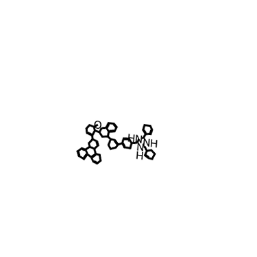 C1=CC(C2NC(C3C=CC(C4=CC(C5CC6C(OC7CCC=C(C8C=CC9C%10=C(C=CCC%10)c%10ccccc%10C9C8)C76)c6ccccc65)CCC4)=CC3)NC(C3C=CCCC3)N2)=CCC1